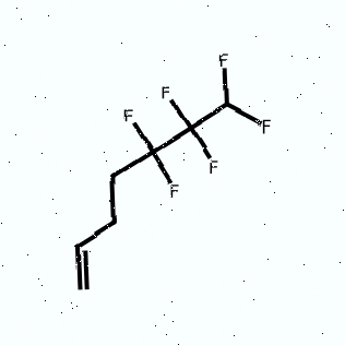 C=CCCC(F)(F)C(F)(F)C(F)F